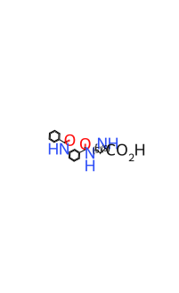 O=C(Nc1cccc(C(=O)N[C@@H]2CN[C@H](C(=O)O)C2)c1)c1ccccc1